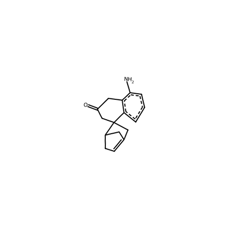 Nc1cccc2c1CC(=O)CC21CC2=CCC1C2